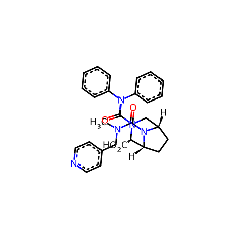 CN(Cc1ccncc1)C(=O)N1[C@H]2CC[C@@H]1[C@@H](C(=O)O)N(C(=O)N(c1ccccc1)c1ccccc1)C2